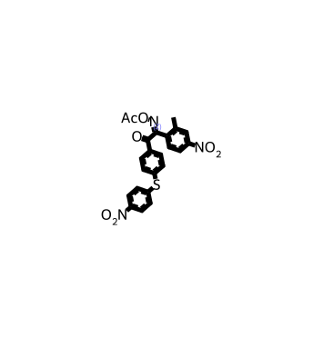 CC(=O)O/N=C(\C(=O)c1ccc(Sc2ccc([N+](=O)[O-])cc2)cc1)c1ccc([N+](=O)[O-])cc1C